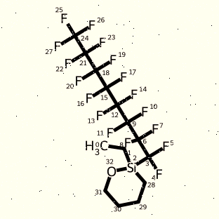 CC[Si]1(C(F)(F)C(F)(F)C(F)(F)C(F)(F)C(F)(F)C(F)(F)C(F)(F)C(F)(F)F)CCCCO1